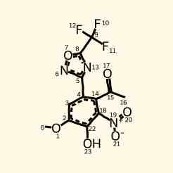 COc1cc(-c2noc(C(F)(F)F)n2)c(C(C)=O)c([N+](=O)[O-])c1O